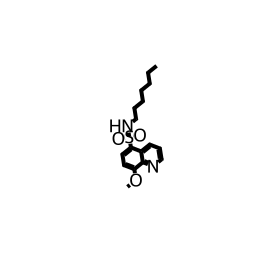 CCCCCCCNS(=O)(=O)c1ccc(OC)c2ncccc12